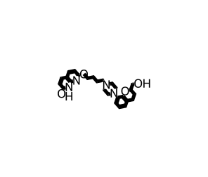 O=c1ccc2ccc(OCCCCN3CCN(c4cccc5c4OC(CO)CC5)CC3)nc2[nH]1